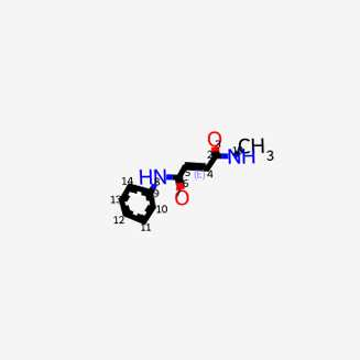 CNC(=O)/C=C/C(=O)Nc1ccccc1